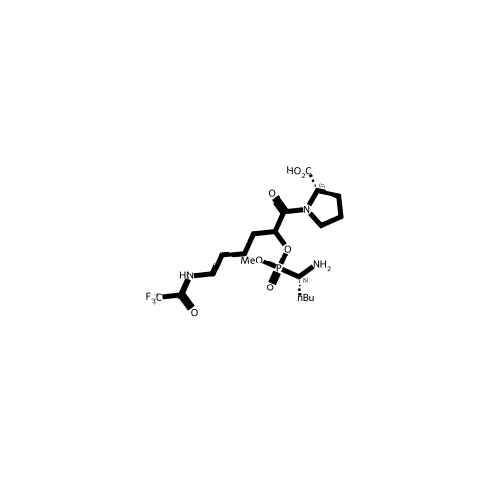 CCCC[C@@H](N)P(=O)(OC)OC(CCCCNC(=O)C(F)(F)F)C(=O)N1CCC[C@H]1C(=O)O